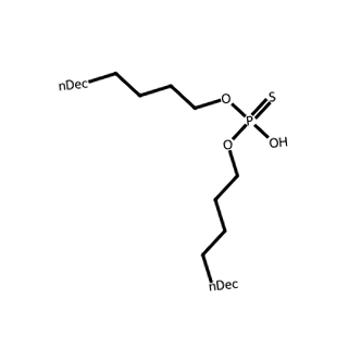 CCCCCCCCCCCCCCOP(O)(=S)OCCCCCCCCCCCCCC